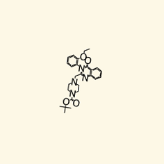 CCOc1ccccc1-n1c(CN2CCN(C(=O)OC(C)(C)C)CC2)nc2ccccc2c1=O